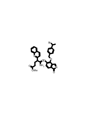 CC(Br)c1ccc(COc2c(Cl)ccc3c2C=NC3=O)cc1.COC(=O)CCC(C(N)=O)c1ccc2ccccc2n1